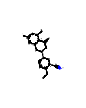 C=C1CC(c2ccc(CC)c(C#N)c2)Cc2cc(C)cc(C)c21